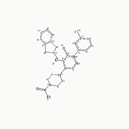 CCC(=O)N1CCN(c2cnn(-c3cccc(Cl)c3)c(=O)c2OC2Cc3ccccc3C2)CC1